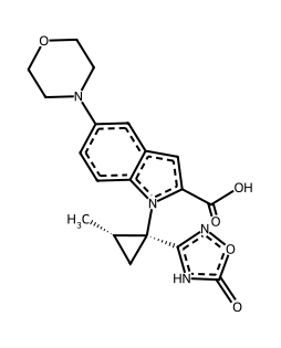 C[C@H]1C[C@]1(c1noc(=O)[nH]1)n1c(C(=O)O)cc2cc(N3CCOCC3)ccc21